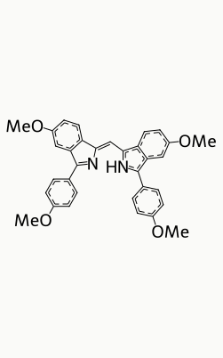 COc1ccc(C2=NC(=Cc3[nH]c(-c4ccc(OC)cc4)c4cc(OC)ccc34)c3ccc(OC)cc32)cc1